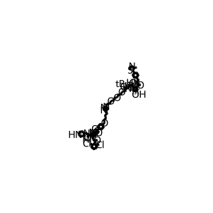 Cc1ncsc1-c1ccc(CNC(=O)[C@@H]2C[C@H](O)CN2C(=O)[C@@H](NC(=O)COCCOCCOCCn2cc(CCCCOc3ccc(S(=O)(=O)n4cc(NC(=O)c5c(Cl)cccc5Cl)c(C(=O)NC5CCNCC5)n4)cc3)nn2)C(C)(C)C)cc1